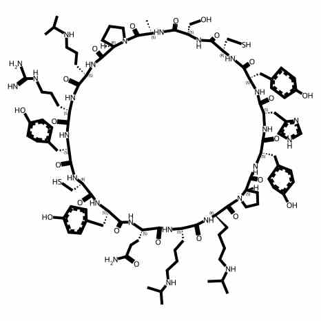 CC(C)NCCCC[C@@H]1NC(=O)[C@H](CCC(N)=O)NC(=O)[C@H](Cc2ccc(O)cc2)NC(=O)[C@H](CS)NC(=O)[C@H](Cc2ccc(O)cc2)NC(=O)[C@H](CCCNC(=N)N)NC(=O)[C@H](CCCNC(C)C)NC(=O)[C@H]2CCCN2C(=O)[C@H](C)NC(=O)[C@H](CO)NC(=O)[C@H](CS)NC(=O)[C@H](Cc2ccc(O)cc2)NC(=O)[C@H](Cc2c[nH]cn2)NC(=O)[C@H](Cc2ccc(O)cc2)NC(=O)[C@@H]2CCCN2C(=O)[C@@H](CCCCNC(C)C)NC1=O